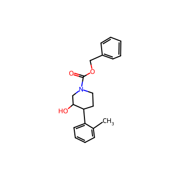 Cc1ccccc1C1CCN(C(=O)OCc2ccccc2)CC1O